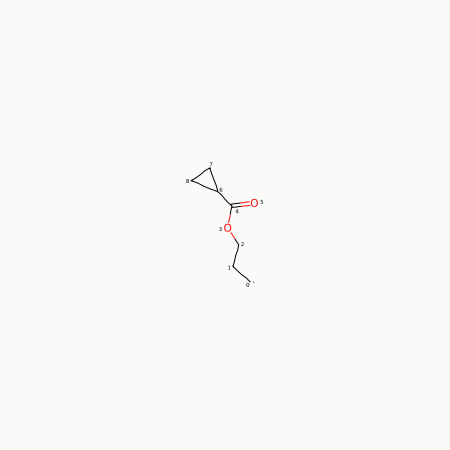 [CH2]CCOC(=O)C1CC1